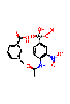 CC(=O)Nc1ccc([As](=O)(O)OO)cc1[N+](=O)[O-].Cc1cccc(C(=O)O)c1